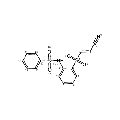 N#CC=CS(=O)(=O)c1ccccc1NS(=O)(=O)c1ccccc1